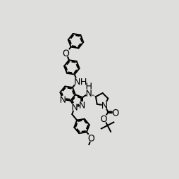 COc1ccc(Cn2nc(N[C@@H]3CCN(C(=O)OC(C)(C)C)C3)c3c(Nc4ccc(Oc5ccccc5)cc4)ccnc32)cc1